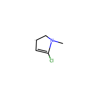 CN1C[CH]C=C1Cl